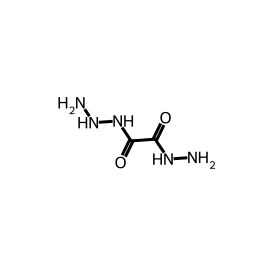 NNNC(=O)C(=O)NN